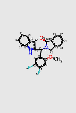 COc1cc(F)c(F)cc1C(c1cc2ccccc2[nH]1)N1Cc2ccccc2C1=O